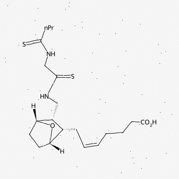 CCCC(=S)NCC(=S)NC[C@@H]1[C@H](C/C=C\CCCC(=O)O)[C@@H]2CC[C@H]1O2